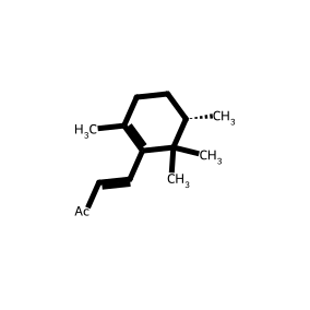 CC(=O)/C=C/C1=C(C)CC[C@H](C)C1(C)C